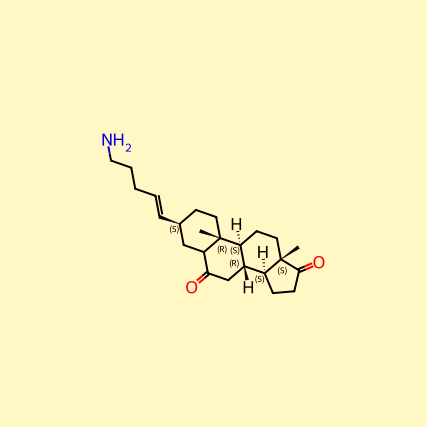 C[C@]12CC[C@H](C=CCCCN)CC1C(=O)C[C@@H]1[C@@H]2CC[C@]2(C)C(=O)CC[C@@H]12